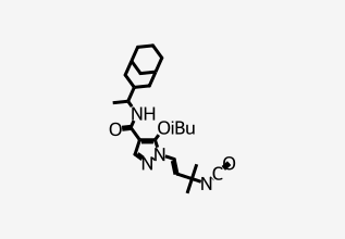 CC(C)COc1c(C(=O)NC(C)C2CC3CCCC(C3)C2)cnn1/C=C/C(C)(C)N=C=O